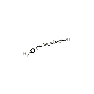 C[C@H]1CC[C@H](COCCOCCOCCOCCOCCO)CC1